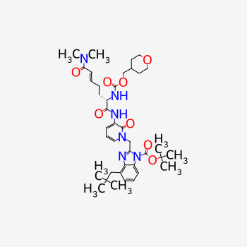 CN(C)C(=O)/C=C/CC[C@H](NC(=O)OCC1CCOCC1)C(=O)Nc1cccn(Cc2nc3c(CC(C)(C)C)cccc3n2C(=O)OC(C)(C)C)c1=O